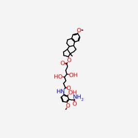 COc1ccc2c(c1)CCC1C2CCC2(C)C(OC(=O)CCC(O)C(O)CCC(=O)Nc3ccc(OC)c(C(N)=O)c3O)CCC12